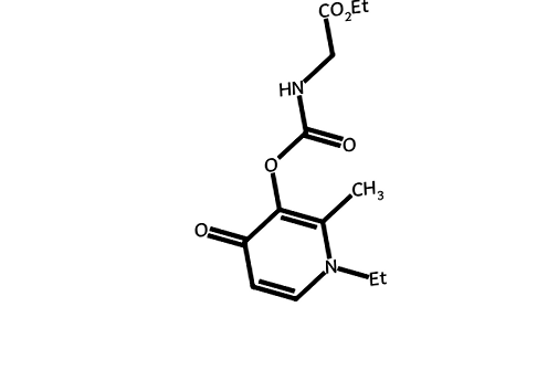 CCOC(=O)CNC(=O)Oc1c(C)n(CC)ccc1=O